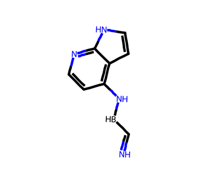 N=CBNc1ccnc2[nH]ccc12